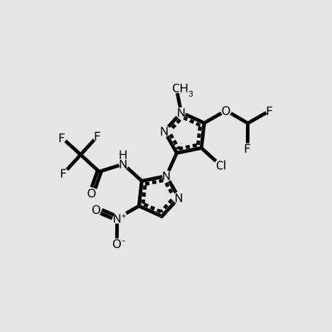 Cn1nc(-n2ncc([N+](=O)[O-])c2NC(=O)C(F)(F)F)c(Cl)c1OC(F)F